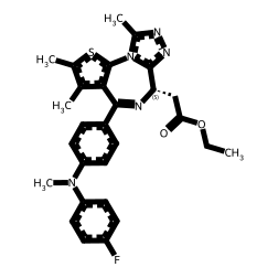 CCOC(=O)C[C@@H]1N=C(c2ccc(N(C)c3ccc(F)cc3)cc2)c2c(sc(C)c2C)-n2c(C)nnc21